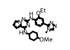 CCOc1cc(-c2nncn2C)ccc1Nc1nc(NC2CCC(OC)CC2)c2cccn2n1